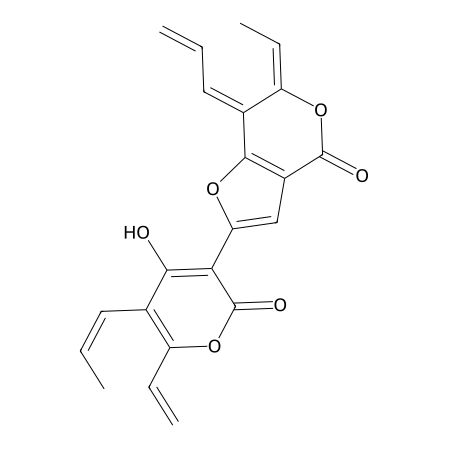 C=C/C=c1\c(=C/C)oc(=O)c2cc(-c3c(O)c(/C=C\C)c(C=C)oc3=O)oc12